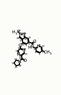 Cc1ccc(NC(=O)c2cc(Oc3cnc(C(=O)N4CCCC4)cn3)c3cn(C)nc3c2)nc1